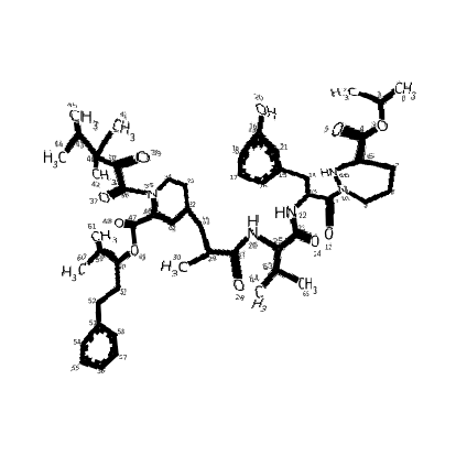 CC(C)OC(=O)C1CCCN(C(=O)C(Cc2cccc(O)c2)NC(=O)C(NC(=O)C(C)CC2CCN(C(=O)C(=O)C(C)(C)C(C)C)C(C(=O)OC(CCc3ccccc3)C(C)C)C2)C(C)C)N1